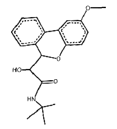 COc1ccc2c(c1)-c1ccccc1C(C(O)C(=O)NC(C)(C)C)O2